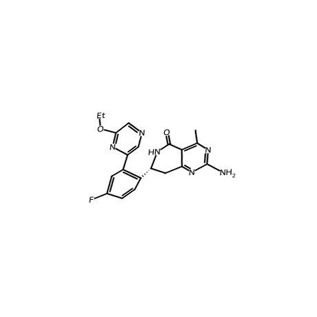 CCOc1cncc(-c2cc(F)ccc2[C@H]2Cc3nc(N)nc(C)c3C(=O)N2)n1